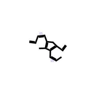 C=C/C=C\C1=C(C)C(/C=C\C)=C(C=C)C1